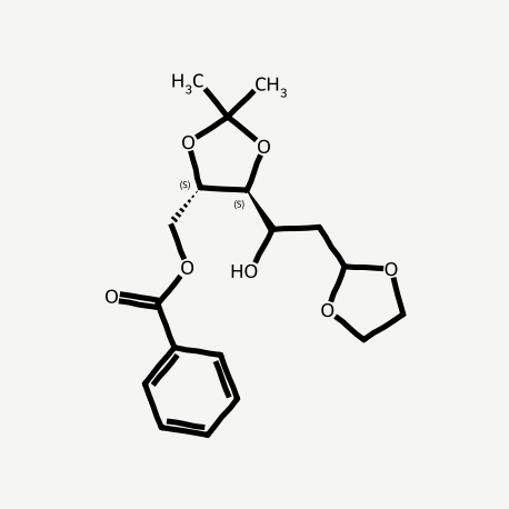 CC1(C)O[C@@H](COC(=O)c2ccccc2)[C@H](C(O)CC2OCCO2)O1